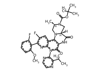 COc1cccc(F)c1-c1nc2c(cc1F)c1c(c(=O)n2-c2nccnc2C(C)C)NC(=O)[C@H]2CN(C(=O)OC(C)(C)C)[C@H](C)CN12